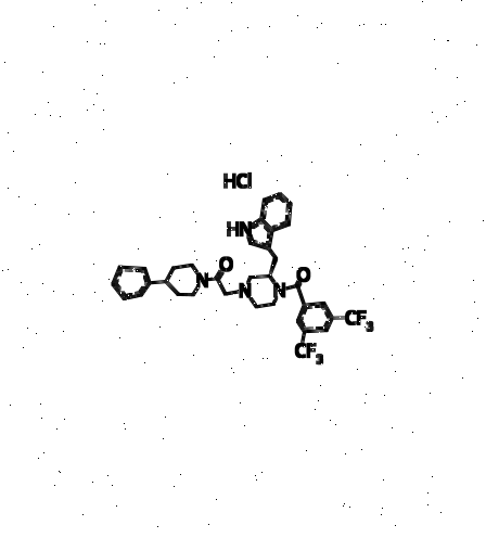 Cl.O=C(CN1CCN(C(=O)c2cc(C(F)(F)F)cc(C(F)(F)F)c2)[C@H](Cc2c[nH]c3ccccc23)C1)N1CCC(c2ccccc2)CC1